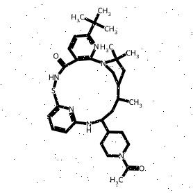 CC(=O)N1CCC(C2CC(C)C3CN(c4nc(C(C)(C)C)ccc4C(=O)NSc4cccc(n4)N2)C(C)(C)C3)CC1